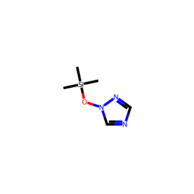 C[Si](C)(C)On1cncn1